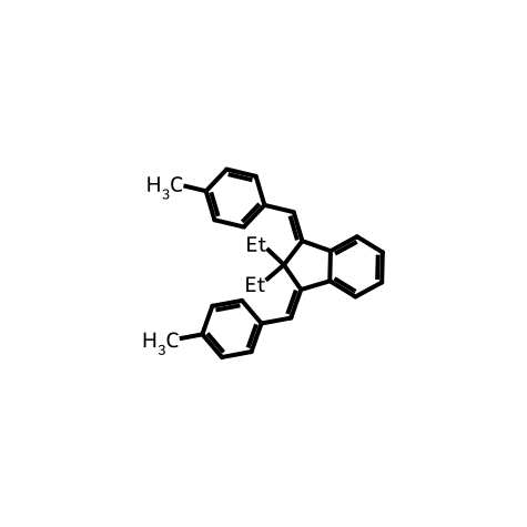 CCC1(CC)C(=Cc2ccc(C)cc2)c2ccccc2C1=Cc1ccc(C)cc1